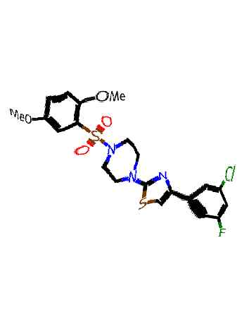 COc1ccc(OC)c(S(=O)(=O)N2CCN(c3nc(-c4cc(F)cc(Cl)c4)cs3)CC2)c1